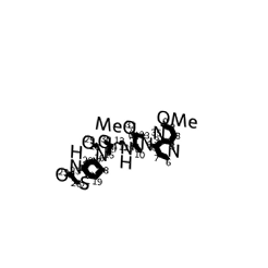 COc1ccc2nccc(N3C[C@@H](NC[C@@H]4CN(c5ccc6c(c5)NC(=O)CS6)C(=O)O4)[C@H](OC)C3)c2n1